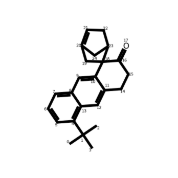 CC(C)(C)c1cccc2cc3c(cc12)CCC(=O)C31CC2=CCC1C2